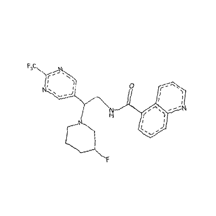 O=C(NCC(c1cnc(C(F)(F)F)nc1)N1CCCC(F)C1)c1cccc2ncccc12